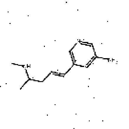 CNC(C)CC=Cc1cncc(N)c1